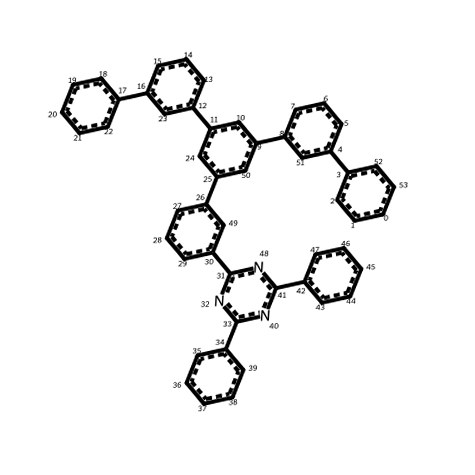 c1ccc(-c2cccc(-c3cc(-c4cccc(-c5ccccc5)c4)cc(-c4cccc(-c5nc(-c6ccccc6)nc(-c6ccccc6)n5)c4)c3)c2)cc1